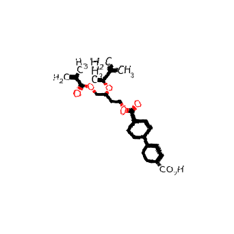 C=C(C)C(=O)OCC(CCOC(=O)C1CCC(C2CCC(C(=O)O)CC2)CC1)OC(C)C(=C)C